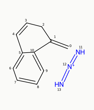 C=C1CC=Cc2ccccc21.N=[N+]=N